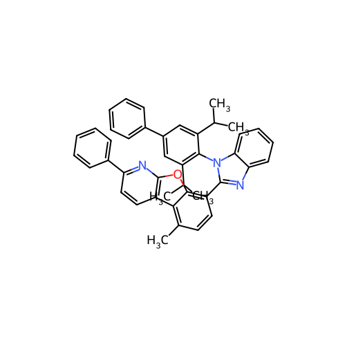 Cc1ccc(-c2nc3ccccc3n2-c2c(C(C)C)cc(-c3ccccc3)cc2C(C)C)c2oc3nc(-c4ccccc4)ccc3c12